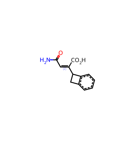 NC(=O)/C=C(\C(=O)O)C1Cc2ccccc21